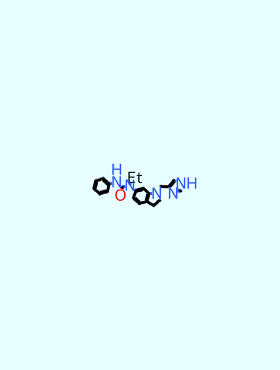 CCN(C(=O)Nc1ccccc1)c1ccc2c(c1)N(Cc1c[nH]cn1)CC2